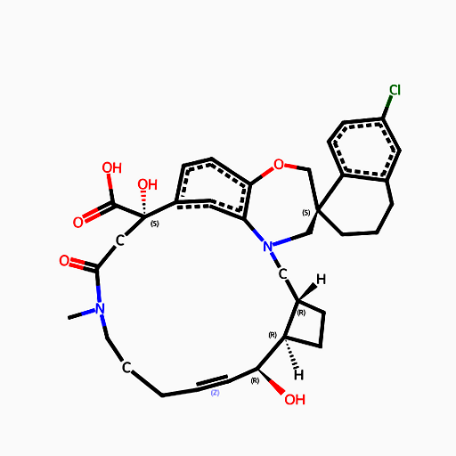 CN1CCC/C=C\[C@H](O)[C@@H]2CC[C@H]2CN2C[C@@]3(CCCc4cc(Cl)ccc43)COc3ccc(cc32)[C@](O)(C(=O)O)CC1=O